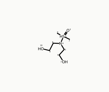 C[SH](C)(=O)N(CCO)CCO